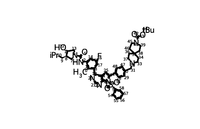 Cc1c(NC(=O)N2C[C@@H](CC(C)C)[C@H](O)C2)cc(F)cc1-c1ncnc2c1cc(-c1ccc(CN3CCC4(CC3)CCN(C(=O)OC(C)(C)C)CC4)cc1)n2S(=O)(=O)c1ccccc1